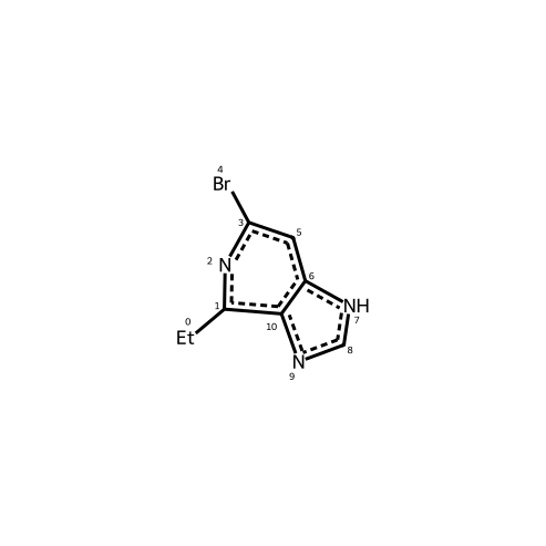 CCc1nc(Br)cc2[nH]cnc12